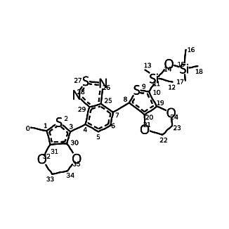 Cc1sc(-c2ccc(-c3sc([Si](C)(C)O[Si](C)(C)C)c4c3OCCO4)c3nsnc23)c2c1OCCO2